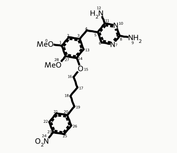 COc1cc(Cc2cnc(N)nc2N)cc(OCCCCc2ccc([N+](=O)[O-])cc2)c1OC